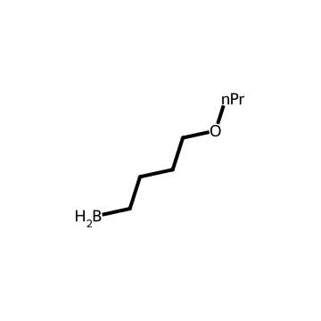 BCCCCOCCC